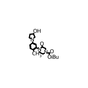 Cc1ccc(N2CCC(O)C2)cc1N1CCN(C(=O)OCC(C)C)CC1=O